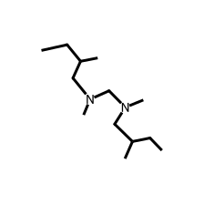 CCC(C)CN(C)CN(C)CC(C)CC